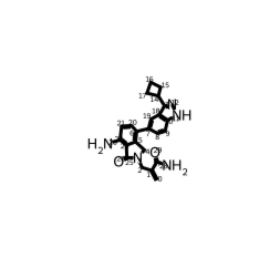 C=C(CN1Cc2c(-c3ccc4[nH]nc(C5CCC5)c4c3)ccc(N)c2C1=O)C(N)=O